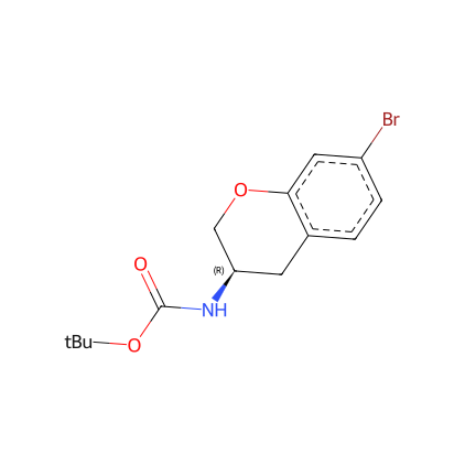 CC(C)(C)OC(=O)N[C@H]1COc2cc(Br)ccc2C1